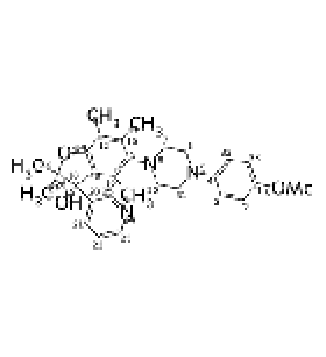 COc1ccc(N2CCN(c3c(C)c(C)c4c(c3C)C(O)(c3cccnc3)C(C)(C)O4)CC2)cc1